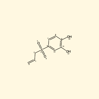 C=CCS(=O)(=O)c1ccc(O)c(O)c1